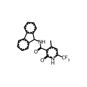 Cc1cc(C(F)(F)F)[nH]c(=O)c1C(=O)NC1c2ccccc2-c2ccccc21